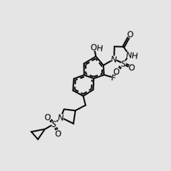 O=C1CN(c2c(O)cc3ccc(CC4CN(S(=O)(=O)C5CC5)C4)cc3c2F)S(=O)(=O)N1